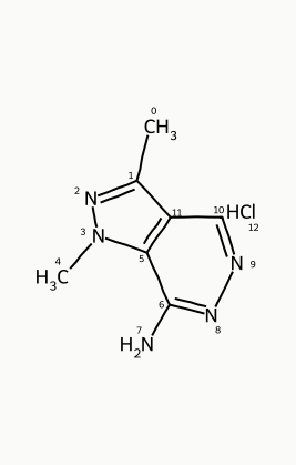 Cc1nn(C)c2c(N)nncc12.Cl